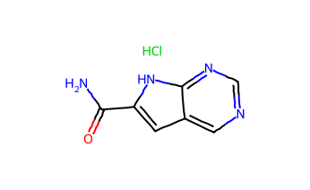 Cl.NC(=O)c1cc2cncnc2[nH]1